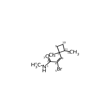 CNC(=O)/C(Br)=C\C1(Cl)CCC1C